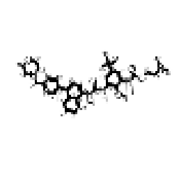 COc1c(NC(=O)Nc2ccc(-c3ccc(CN4CCOCC4)nc3)c3ccccc23)cc(C(C)(C)C)cc1NC(=O)OCCN(C)C